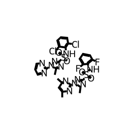 Cc1cc(C)nc(-n2nc(S(=O)(=O)Nc3c(F)cccc3F)nc2C)n1.Cc1nc(S(=O)(=O)Nc2c(Cl)cccc2Cl)nn1-c1ncccn1